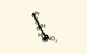 CCCOCCOCCOCCNC(=O)CCCCCNc1ccc([N+](=O)[O-])c2nonc12